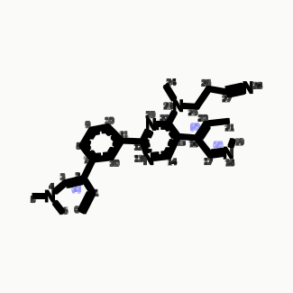 C=C/C(=C\N(C)C)c1cccc(-c2ncc(C(/C=N\C)=C/C)c(N(C)CCC#N)n2)c1